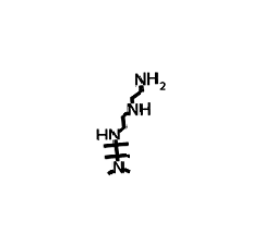 CN(C)C(C)(C)C(C)(C)NCCNCCN